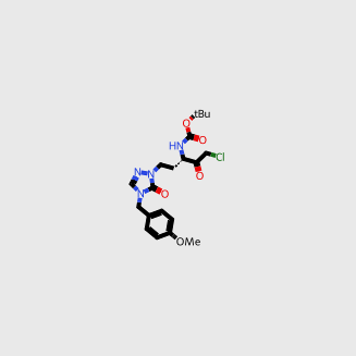 COc1ccc(Cn2cnn(CC[C@H](NC(=O)OC(C)(C)C)C(=O)CCl)c2=O)cc1